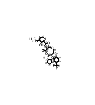 COc1ccnc(C(=O)N[C@H]2COC[C@H](Cc3ccc(C(F)(F)F)cc3)[C@@H](OC3CCCC3)[C@H](C)OC2=O)c1O